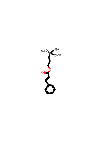 CCCC[Si](CCCOC(=O)/C=C/c1ccccc1)(OC)OC